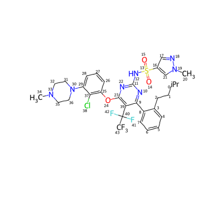 CC(C)CCc1ccccc1-c1nc(NS(=O)(=O)c2cnn(C)c2)nc(Oc2cccc(N3CCN(C)CC3)c2Cl)c1C(F)(F)C(F)(F)F